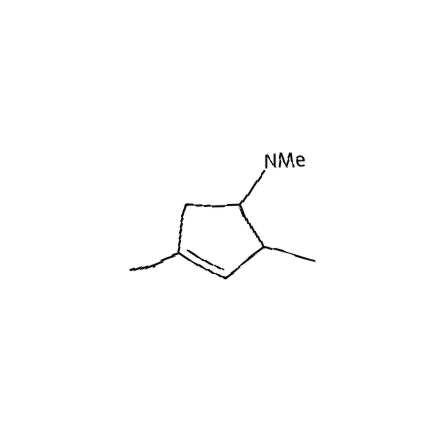 CNC1CC(C)=CC1C